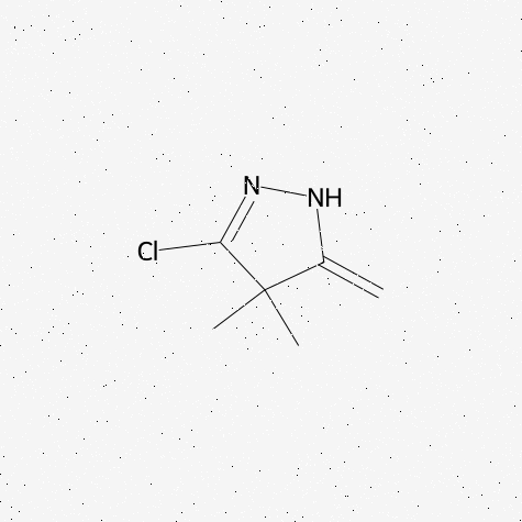 C=C1NN=C(Cl)C1(C)C